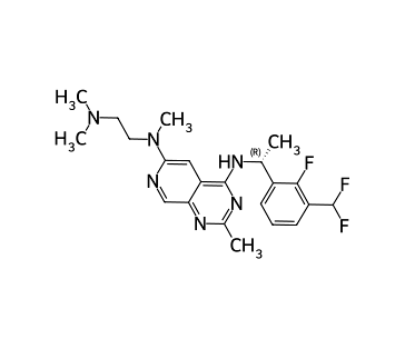 Cc1nc(N[C@H](C)c2cccc(C(F)F)c2F)c2cc(N(C)CCN(C)C)ncc2n1